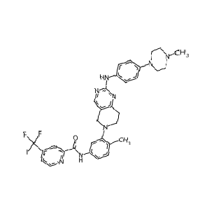 Cc1ccc(NC(=O)c2cc(C(F)(F)I)ccn2)cc1N1CCc2nc(Nc3ccc(N4CCN(C)CC4)cc3)ncc2C1